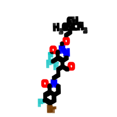 C[Si](C)(C)CCOCn1ncc(C(C=O)CCCn2ccc3cc(Br)c(F)cc3c2=O)c(C(F)(F)F)c1=O